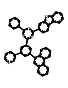 c1ccc(-c2nc(-c3cc(-c4cccnc4)cc(-c4cc5ccccc5c5ccccc45)c3)nc(-c3ccc4c(c3)oc3ccccc34)n2)cc1